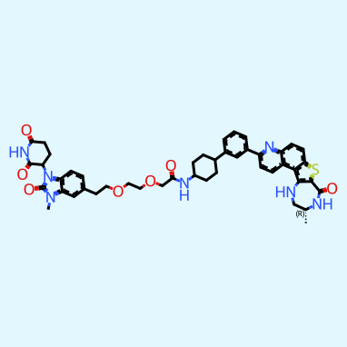 C[C@@H]1CNc2c(sc3ccc4nc(-c5cccc(C6CCC(NC(=O)COCCOCCc7ccc8c(c7)n(C)c(=O)n8C7CCC(=O)NC7=O)CC6)c5)ccc4c23)C(=O)N1